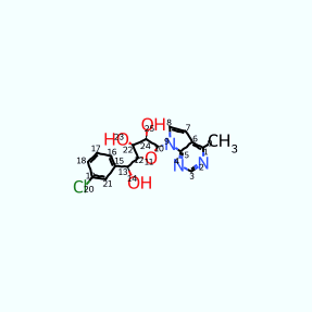 Cc1ncnc2c1ccn2[C@@H]1O[C@H]([C@@H](O)c2cccc(Cl)c2)[C@@H](O)[C@H]1O